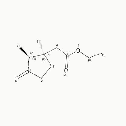 C=C1CC[C@](C)(CC(=O)OCC)[C@@H]1C